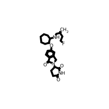 C=C(CCF)CNC1CCCCCC1Oc1ccc2c(c1)CN(C1CCC(=O)NC1=O)C2=O